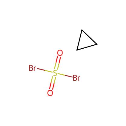 C1CC1.O=S(=O)(Br)Br